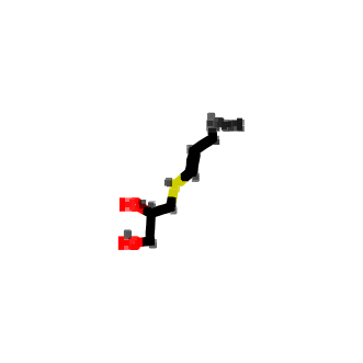 CCCCCCC=CSCC(O)CO